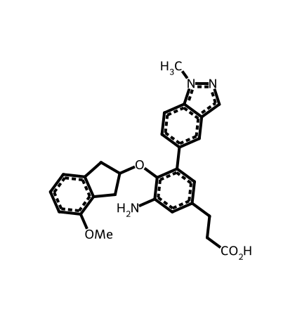 COc1cccc2c1CC(Oc1c(N)cc(CCC(=O)O)cc1-c1ccc3c(cnn3C)c1)C2